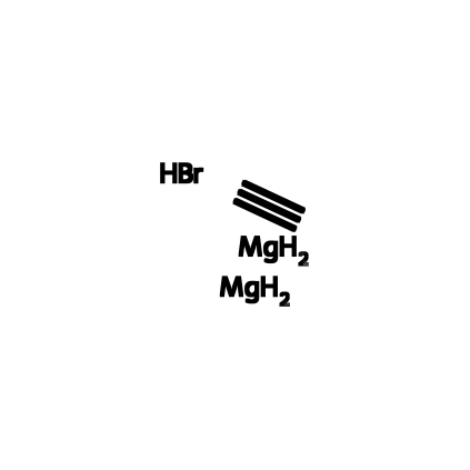 Br.C#C.[MgH2].[MgH2]